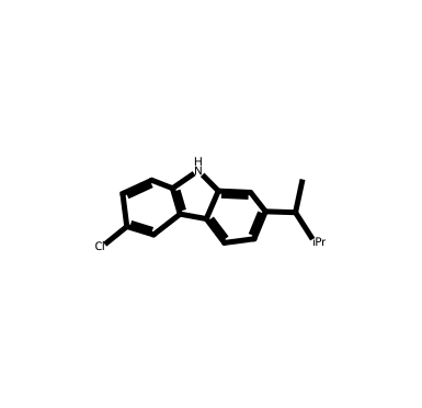 CC(C)C(C)c1ccc2c(c1)[nH]c1ccc(Cl)cc12